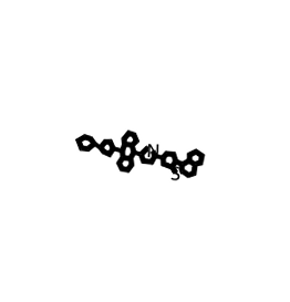 c1ccc(-c2ccc(-c3c4ccccc4c(-c4ccc(-c5ccc6c(c5)sc5ccc7ccccc7c56)nc4)c4ccccc34)cc2)cc1